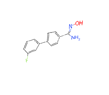 N/C(=N\O)c1ccc(-c2cccc(F)c2)cc1